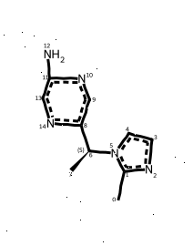 Cc1nccn1[C@@H](C)c1cnc(N)cn1